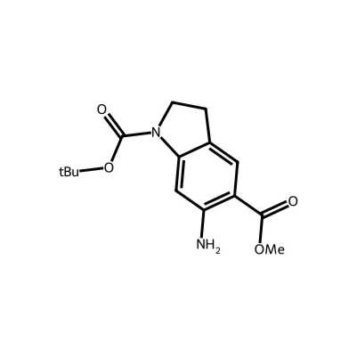 COC(=O)c1cc2c(cc1N)N(C(=O)OC(C)(C)C)CC2